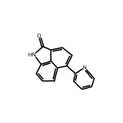 O=C1Nc2cccc3c(-c4ccccn4)ccc1c23